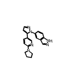 c1cc(-c2ccc(N3CCCC3)nc2)n(-c2ccc3[nH]ncc3c2)n1